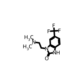 CN(C)CCn1c(=O)[nH]c2ccc(C(F)(F)F)cc21